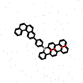 c1ccc(-c2ccc(-c3ccccc3N(c3ccc(-c4ccccc4)cc3)c3ccc(-c4ccc5c(ccc6ccc7ccccc7c65)c4)cc3)cc2)cc1